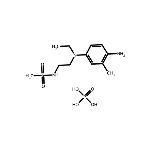 CCN(CCNS(C)(=O)=O)c1ccc(N)c(C)c1.O=P(O)(O)O